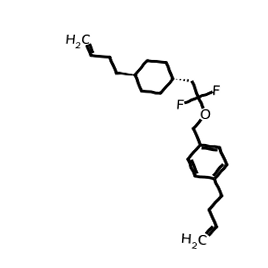 C=CCCc1ccc(COC(F)(F)C[C@H]2CC[C@H](CCC=C)CC2)cc1